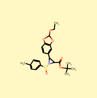 CCOC1Oc2ccc(C3C(C(=O)OC(C)(C)C)[N@@]3[S+]([O-])c3ccc(C)cc3)cc2O1